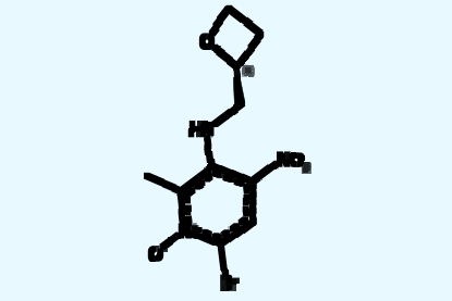 Cc1c(NC[C@@H]2CCO2)c([N+](=O)[O-])cc(Br)[n+]1[O-]